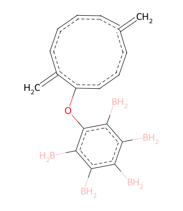 Bc1c(B)c(B)c(Oc2cccc(=C)ccccc2=C)c(B)c1B